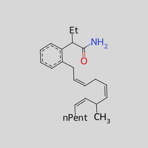 CCCCC/C=C\C(C)/C=C\C/C=C\Cc1ccccc1C(CC)C(N)=O